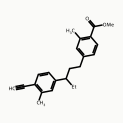 C#Cc1ccc(C(CC)CCc2ccc(C(=O)OC)c(C)c2)cc1C